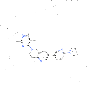 Cc1nc(C)c(C)c(N2CCc3ncc(-c4ccc(N5CCCC5)nc4)cc3C2)n1